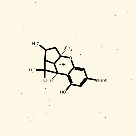 CCCCCc1cc(O)c2c(c1)O[C@]1(C)CC(C)C3[C@@H]1[C@@H]2C3(C)C